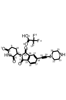 O=C(O)C(F)(F)F.O=C1CCC(N2C(=O)c3ccc(C#CN4CCNCC4)cc3C2=O)C(=O)N1